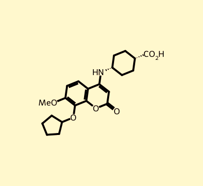 COc1ccc2c(N[C@H]3CC[C@@H](C(=O)O)CC3)cc(=O)oc2c1OC1CCCC1